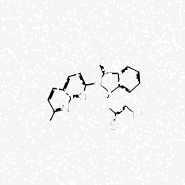 CCC=C(CC)OC1c2ccccc2C(=O)N1c1ccc2ccc(Cl)nc2n1